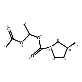 CC(=O)OC(C)OC(=O)N1CC[C@H](C)C1